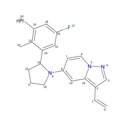 C=Cc1cnn2ccc(N3CCCC3c3cc(F)cc(CCC)c3C)cc12